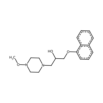 CON1CCN(CC(O)COc2cccc3ccccc23)CC1